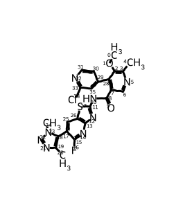 COc1c(C)ncc(C(=O)Nc2nc3nc(F)c(-c4c(C)nnn4C)cc3s2)c1-c1ccnc(Cl)c1